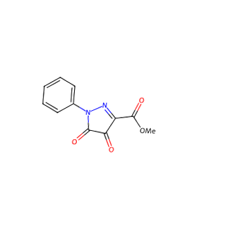 COC(=O)C1=NN(c2ccccc2)C(=O)C1=O